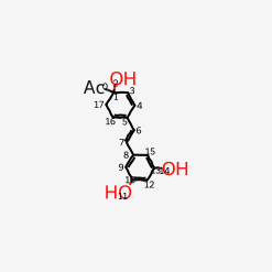 CC(=O)C1(O)C=CC(C=Cc2cc(O)cc(O)c2)=CC1